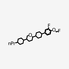 CCCC1CCC(C2CCC(C3CCC(c4ccc(OCF)c(F)c4)CC3)OC2)CC1